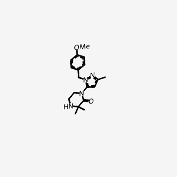 COc1ccc(Cn2nc(C)cc2N2CCNC(C)(C)C2=O)cc1